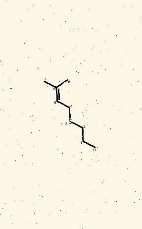 [CH2]CCSCC=C(C)C